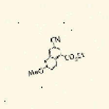 CCOC(=O)c1cc(C#N)cc2cc(OC)ccc12